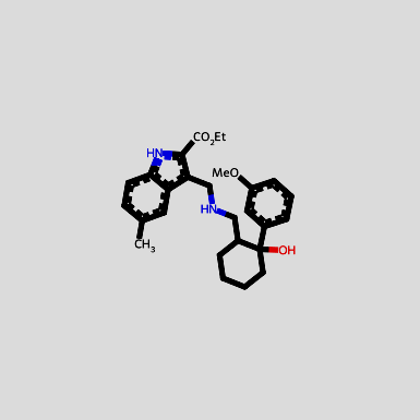 CCOC(=O)c1[nH]c2ccc(C)cc2c1CNCC1CCCCC1(O)c1cccc(OC)c1